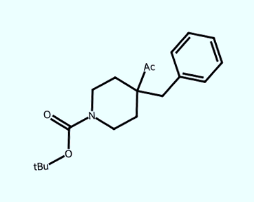 CC(=O)C1(Cc2ccccc2)CCN(C(=O)OC(C)(C)C)CC1